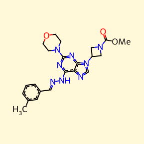 COC(=O)N1CC(n2cnc3c(N/N=C/c4cccc(C)c4)nc(N4CCOCC4)nc32)C1